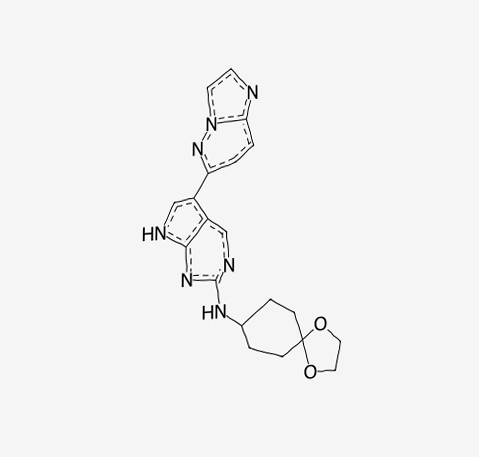 c1cn2nc(-c3c[nH]c4nc(NC5CCC6(CC5)OCCO6)ncc34)ccc2n1